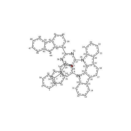 c1ccc(-c2cccc(-n3c4ccccc4c4ccc5c6ccccc6n(-c6nc(-c7ccccc7)nc(-c7cccc8c7sc7ccccc78)n6)c5c43)c2)cc1